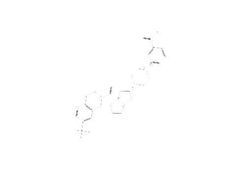 C[C@@H]1CN([C@H]2C[C@H]3CCC[C@@]3(C(=O)N3CCc4ncc(C(F)(F)F)cc4C3)C2)CC[C@H]1c1cccc(C(=O)O)c1